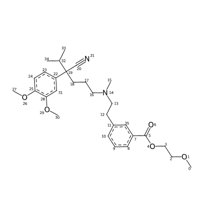 COCCOC(=O)c1cccc(CCN(C)CCCC(C#N)(c2ccc(OC)c(OC)c2)C(C)C)c1